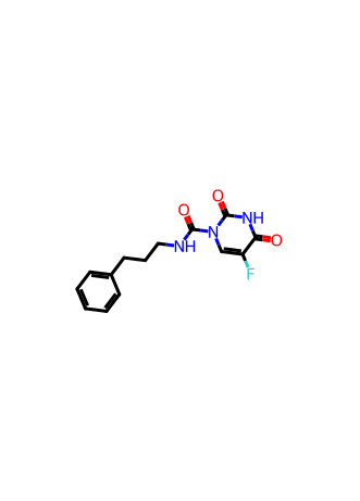 O=C(NCCCc1ccccc1)n1cc(F)c(=O)[nH]c1=O